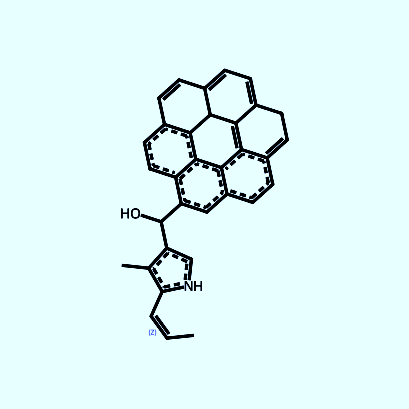 C/C=C\c1[nH]cc(C(O)c2cc3ccc4c5c3c3c6c(ccc23)C=CC2=CC=C(CC=4)C=5C26)c1C